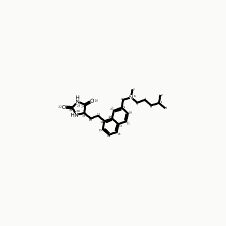 CC(C)CCCN(C)Cc1ccc2cccc(CCC3NC(=O)NC3=O)c2c1